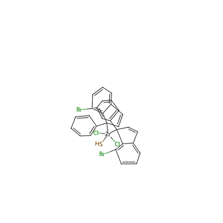 [SH][Zr]([Cl])([Cl])([C]1(c2ccccc2)C=Cc2cccc(Br)c21)[C]1(c2ccccc2)C=Cc2cccc(Br)c21